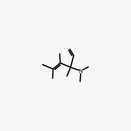 C=CC(C)(C(C)=C(C)C)N(C)C